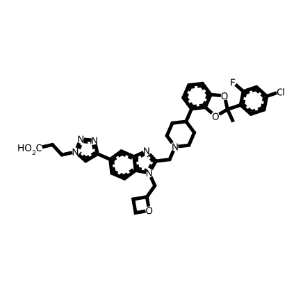 CC1(c2ccc(Cl)cc2F)Oc2cccc(C3CCN(Cc4nc5cc(-c6cn(CCC(=O)O)nn6)ccc5n4CC4CCO4)CC3)c2O1